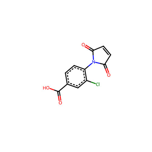 O=C(O)c1ccc(N2C(=O)C=CC2=O)c(Cl)c1